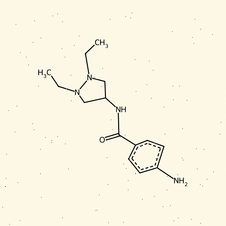 CCN1CC(NC(=O)c2ccc(N)cc2)CN1CC